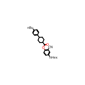 CCCCCCc1ccc(OC(=O)C2CCC(c3ccc(CCCC)cc3)CC2)c(C#N)c1